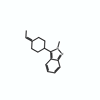 CC=C1CCC(c2c3ccccc3nn2C)CC1